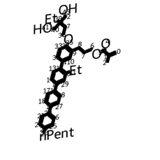 C=C(C)C(=O)OCCCc1cc(-c2ccc(-c3ccc(-c4ccc(CCCCC)cc4)cc3)cc2CC)ccc1OCCC(CC)(CO)CO